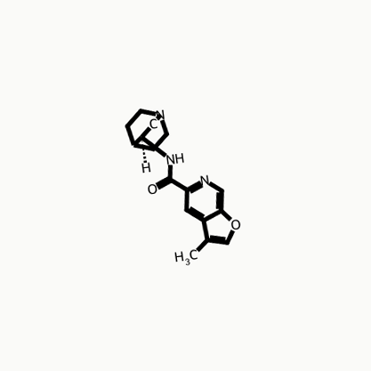 Cc1coc2cnc(C(=O)N[C@@H]3CN4CCC3CC4)cc12